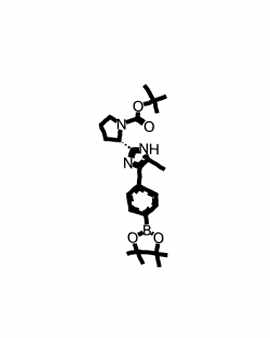 Cc1[nH]c([C@@H]2CCCN2C(=O)OC(C)(C)C)nc1-c1ccc(B2OC(C)(C)C(C)(C)O2)cc1